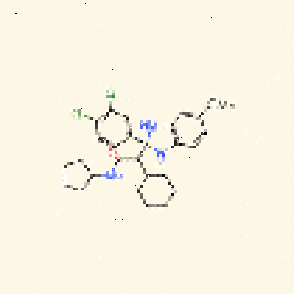 COc1ccc2c(c1)NC(c1ccc(Cl)c(Cl)c1)(C(C(=O)NC1CCCC1)C1CCCCC1)N2